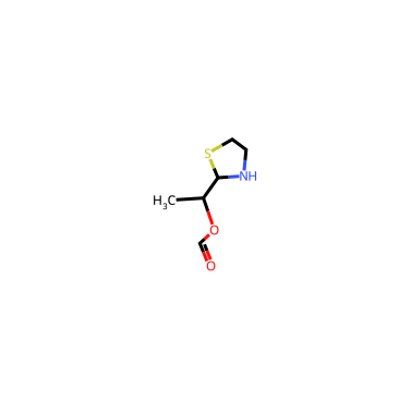 CC(OC=O)C1NCCS1